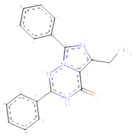 CCc1nc(-c2ccccc2)n2nc(-c3ccccc3)[nH]c(=O)c12